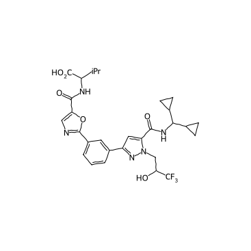 CC(C)C(NC(=O)c1cnc(-c2cccc(-c3cc(C(=O)NC(C4CC4)C4CC4)n(CC(O)C(F)(F)F)n3)c2)o1)C(=O)O